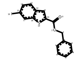 O=C(OCc1ccccc1)c1cc2ccc(I)cc2s1